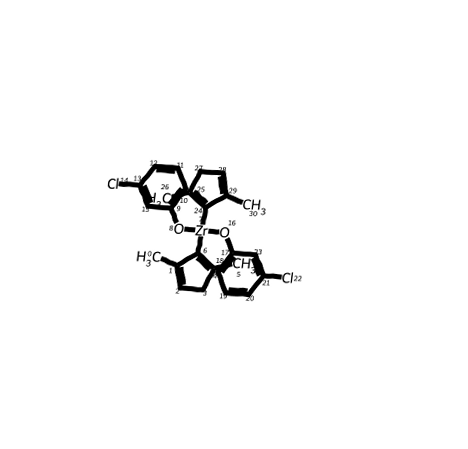 CC1=CCC(C)=[C]1[Zr]([O]c1cccc(Cl)c1)([O]c1cccc(Cl)c1)[C]1=C(C)CC=C1C